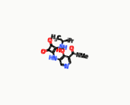 CNC(=O)c1cncc(Nc2c(N[C@@H](C)C(C)C)c(=O)c2=O)c1O